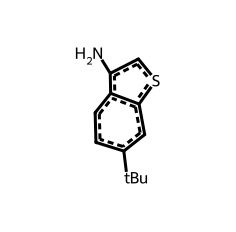 CC(C)(C)c1ccc2c(N)csc2c1